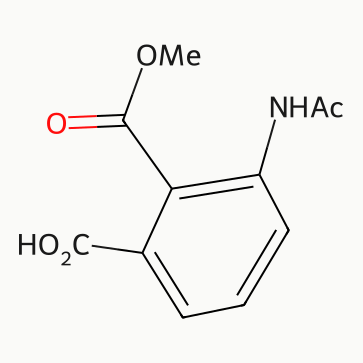 COC(=O)c1c(NC(C)=O)cccc1C(=O)O